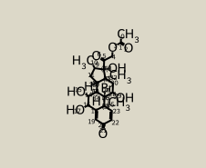 CC(=O)OCC(=O)[C@@]1(O)C(C)C[C@H]2[C@@H]3C(O)C(O)C4=CC(=O)C=C[C@]4(C)[C@@]3(Br)C(O)C[C@@]21C